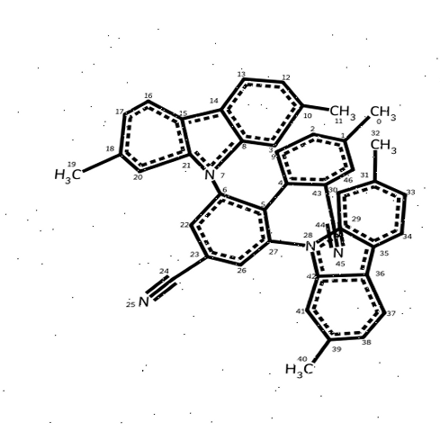 Cc1ccc(-c2c(-n3c4cc(C)ccc4c4ccc(C)cc43)cc(C#N)cc2-n2c3cc(C)ccc3c3ccc(C)cc32)c(C#N)c1